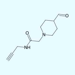 C#CCNC(=O)CN1CCC(C=O)CC1